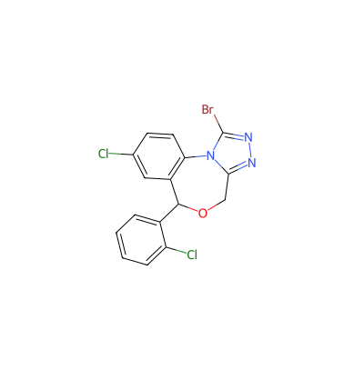 Clc1ccc2c(c1)C(c1ccccc1Cl)OCc1nnc(Br)n1-2